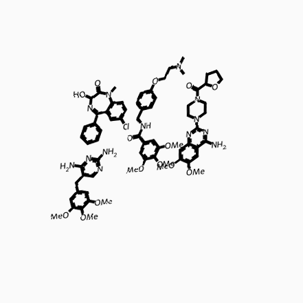 CN1C(=O)C(O)N=C(c2ccccc2)c2cc(Cl)ccc21.COc1cc(C(=O)NCc2ccc(OCCN(C)C)cc2)cc(OC)c1OC.COc1cc(Cc2cnc(N)nc2N)cc(OC)c1OC.COc1cc2nc(N3CCN(C(=O)C4CCCO4)CC3)nc(N)c2cc1OC